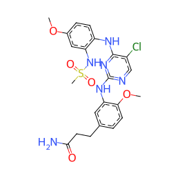 COc1ccc(Nc2nc(Nc3cc(CCC(N)=O)ccc3OC)ncc2Cl)c(NS(C)(=O)=O)c1